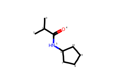 CC(C)C(=O)NC1CCCC1